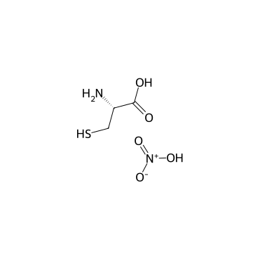 N[C@@H](CS)C(=O)O.O=[N+]([O-])O